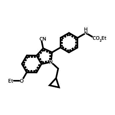 CCOC(=O)Nc1ccc(-c2c(C#N)c3ccc(OCC)cc3n2CC2CC2)cc1